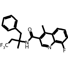 Cc1c(C(=O)NC(C)(Cc2ccccc2)CC(F)(F)F)cnc2c(F)cccc12